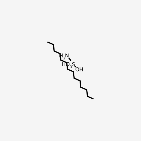 CCCCCCCCCCCCCC.CN.O=S(=O)(O)O